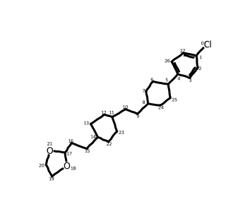 Clc1ccc(C2CCC(CCC3CCC(CCC4OCCO4)CC3)CC2)cc1